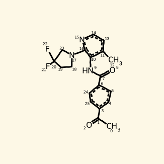 CC(=O)c1ccc(C(=O)Nc2c(C)ccnc2N2CCC(F)(F)C2)cc1